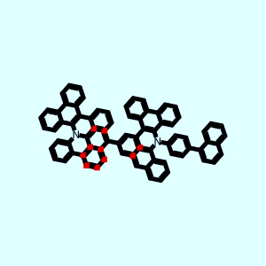 c1ccc(-c2ccccc2N(c2ccc(-c3cccc(-c4c(N(c5ccc(-c6cccc7ccccc67)cc5)c5cccc6ccccc56)c5ccccc5c5ccccc45)c3)c3ccccc23)c2c(-c3ccccc3)c3ccccc3c3ccccc23)cc1